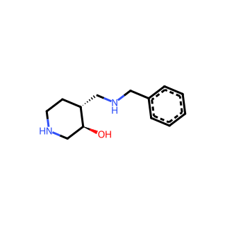 O[C@H]1CNCC[C@@H]1CNCc1ccccc1